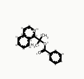 CC(C)(OC(=O)c1ccccc1)c1nccc2ccccc12